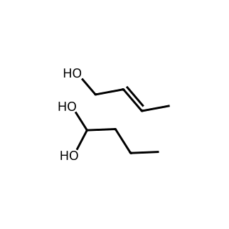 CC=CCO.CCCC(O)O